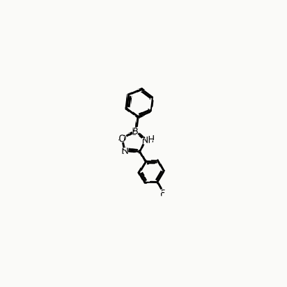 Fc1ccc(C2=NOB(c3ccccc3)N2)cc1